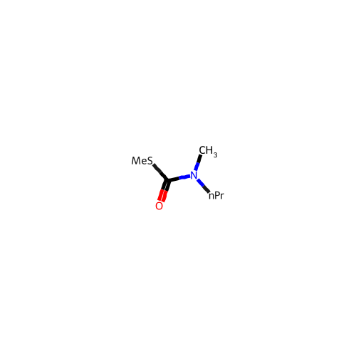 CCCN(C)C(=O)SC